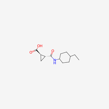 CCC1CCC(NC(=O)[C@@H]2C[C@H]2C(=O)O)CC1